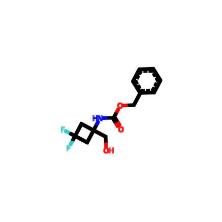 O=C(NC1(CO)CC(F)(F)C1)OCc1ccccc1